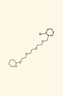 Brc1ccccc1COCCOCCOCCOC1CCCCO1